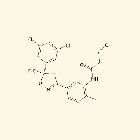 Cc1ccc(C2=NOC(c3cc(Cl)cc(Cl)c3)(C(F)(F)F)C2)cc1NC(=O)CCO